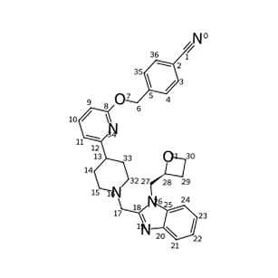 N#Cc1ccc(COc2cccc(C3CCN(Cc4nc5ccccc5n4C[C@@H]4CCO4)CC3)n2)cc1